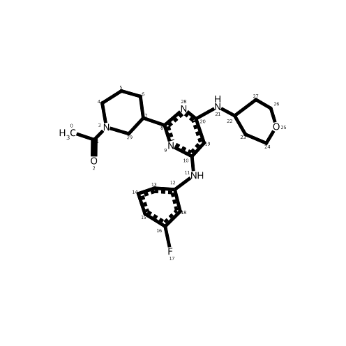 CC(=O)N1CCCC(c2nc(Nc3cccc(F)c3)cc(NC3CCOCC3)n2)C1